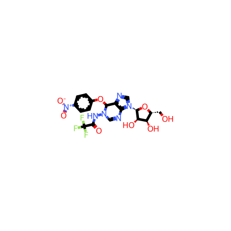 O=C(NN1C=Nc2c(ncn2[C@@H]2O[C@H](CO)[C@@H](O)[C@H]2O)C1Oc1ccc([N+](=O)[O-])cc1)C(F)(F)F